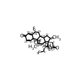 CCC(=O)C[C@]1(C(=O)SCF)[C@H](C)CC2C3C[C@H](F)C4=CC(=O)C=C[C@]4(C)[C@@]3(F)[C@@H](C)C[C@@]21C